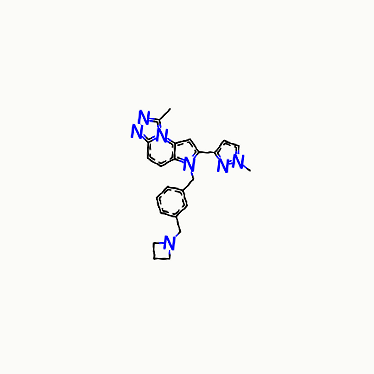 Cc1nnc2ccc3c(cc(-c4ccn(C)n4)n3Cc3cccc(CN4CCC4)c3)n12